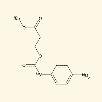 CC(C)(C)OC(=O)CCOC(=O)Nc1ccc([N+](=O)[O-])cc1